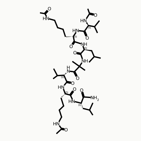 CC(=O)NCCCC[C@H](NC(=O)[C@@H](NC(C)=O)C(C)C)C(=O)N[C@@H](CC(C)C)C(=O)NC(C)(C)C(=O)N[C@H](C(=O)N[C@@H](CCCCNC(C)=O)C(=O)N[C@@H](CC(C)C)C(N)=O)C(C)C